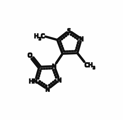 Cc1nsc(C)c1-n1nn[nH]c1=O